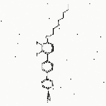 CCCCCCCCOc1ccc(-c2ccc(-c3ccc(C#N)cc3)cc2)c(F)c1F